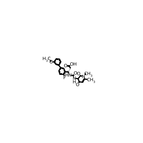 COc1cccc(-c2ccc(F)c([C@H](CC(=O)O)NC(=O)NC3C(=O)C=C(C)N(C)C3=O)c2)c1